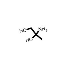 CC(N)(O)CO